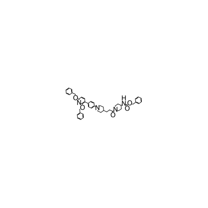 O=C(NC1CCN(C(=O)CCC2CCN(c3ccc(-c4ccc(OCc5ccccc5)nc4OCc4ccccc4)cc3)CC2)CC1)OCc1ccccc1